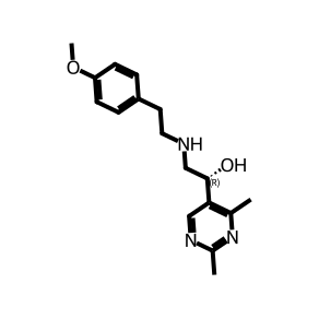 COc1ccc(CCNC[C@H](O)c2cnc(C)nc2C)cc1